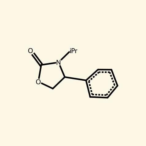 CC(C)N1C(=O)OCC1c1ccccc1